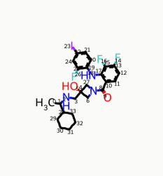 CC(NCC1(O)CN(C(=O)c2ccc(F)c(F)c2Nc2ccc(I)cc2F)C1)C1CCCCC1